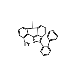 CC(C)c1cccc2c1-c1sc(-c3ccccc3-c3ccccc3)c3cccc(c13)C2C